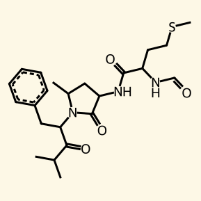 CSCCC(NC=O)C(=O)NC1CC(C)N(C(Cc2ccccc2)C(=O)C(C)C)C1=O